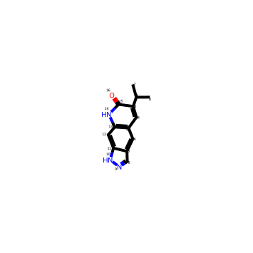 CC(C)c1cc2cc3cn[nH]c3cc2[nH]c1=O